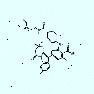 CCN(CC)CCNC(=O)[C@H]1CC[C@H](Nc2cc(-c3c4n(c5cc(F)ccc35)C(=O)CC(C)(C)C4)cc(F)c2C(N)=O)CC1